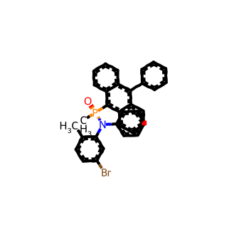 Cc1ccc(Br)cc1N(c1ccccc1)P(C)(=O)c1c2ccccc2c(-c2ccccc2)c2ccccc12